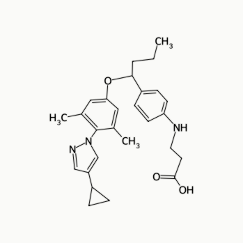 CCCC(Oc1cc(C)c(-n2cc(C3CC3)cn2)c(C)c1)c1ccc(NCCC(=O)O)cc1